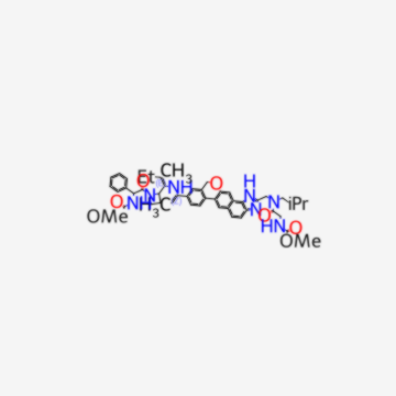 C/C=C(\N/C(=C(\C)CC)C1CCN1C(=O)C(NC(=O)OC)c1ccccc1)c1ccc2c(c1)COc1cc3c(ccc4nc(CN(CC(C)C)C(=O)CNC(=O)OC)[nH]c43)cc1-2